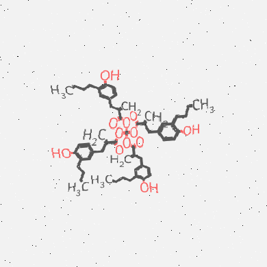 C=C(Cc1ccc(O)c(CCCC)c1)C(=O)OC(OC(=O)C(=C)Cc1ccc(O)c(CCCC)c1)(OC(=O)C(=C)Cc1ccc(O)c(CCCC)c1)OC(=O)C(=C)Cc1ccc(O)c(CCCC)c1